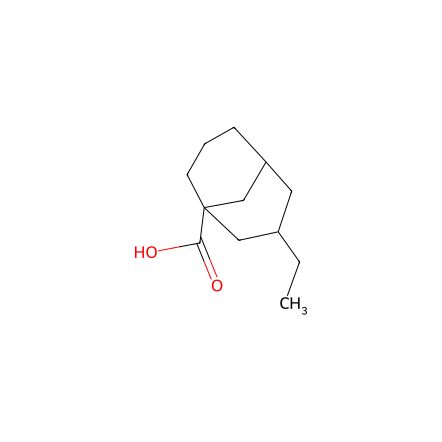 CCC1CC2CCCC(C(=O)O)(C1)C2